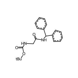 CC(C)(C)OC(=O)NCC(=O)NC(c1ccccc1)c1ccccc1